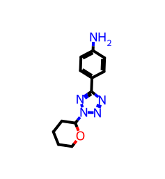 Nc1ccc(-c2nnn(C3CCCCO3)n2)cc1